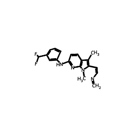 C=N/C=C\c1c(C)c2ccc(Nc3cccc(C(F)F)c3)nc2n1C